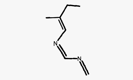 C=N/C=N\C=C(/C)CC